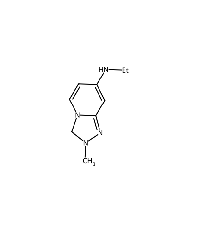 CCNC1=CC2=NN(C)CN2C=C1